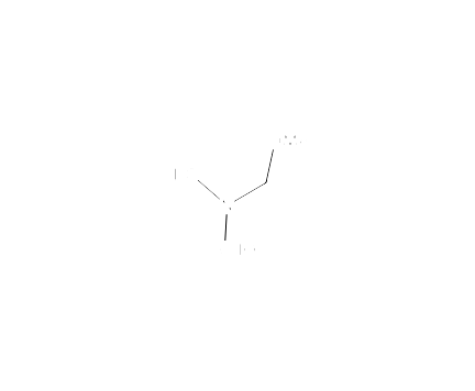 [CH2]OCN(C)C=O